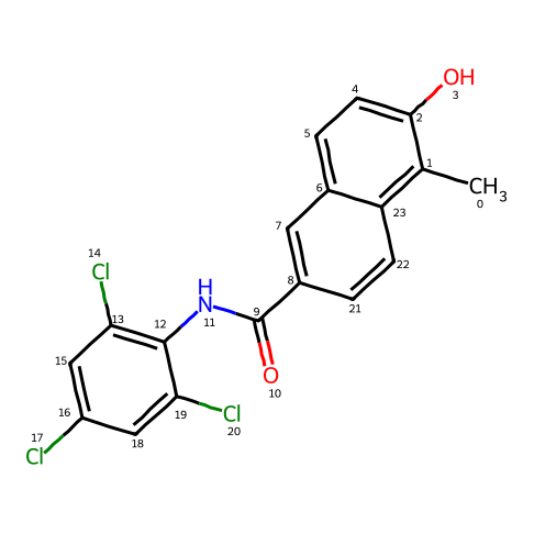 Cc1c(O)ccc2cc(C(=O)Nc3c(Cl)cc(Cl)cc3Cl)ccc12